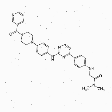 CN(C)C(=O)CNc1ccc(-c2ccnc(Nc3ccc(N4CCN(C(=O)c5cccnc5)CC4)cc3)n2)cc1